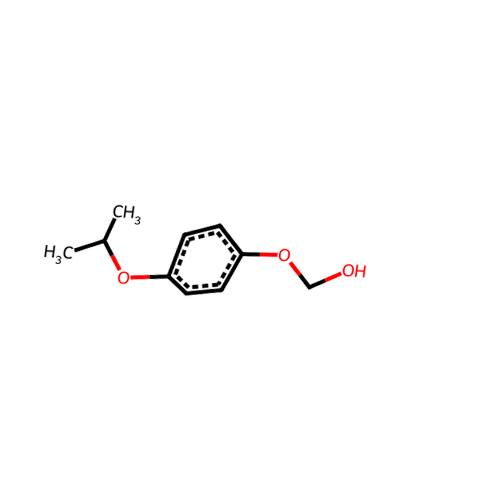 CC(C)Oc1ccc(OCO)cc1